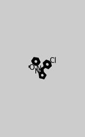 COc1ccccc1-n1nc2c(c1-c1ccc(Cl)cc1)CCC2